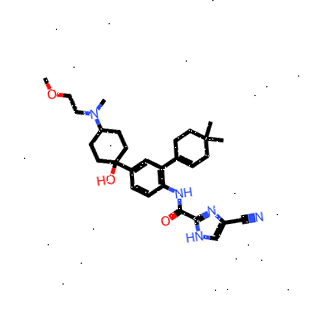 COCCN(C)C1CCC(O)(c2ccc(NC(=O)c3nc(C#N)c[nH]3)c(C3=CCC(C)(C)CC3)c2)CC1